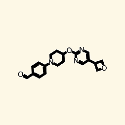 O=Cc1ccc(N2CCC(Oc3ncc(C4COC4)cn3)CC2)cc1